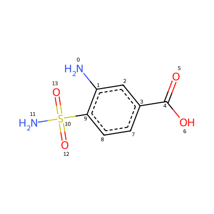 Nc1cc(C(=O)O)ccc1S(N)(=O)=O